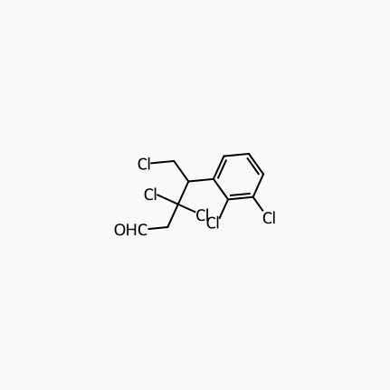 O=CCC(Cl)(Cl)C(CCl)c1cccc(Cl)c1Cl